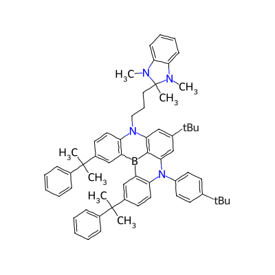 CN1c2ccccc2N(C)C1(C)CCCN1c2ccc(C(C)(C)c3ccccc3)cc2B2c3cc(C(C)(C)c4ccccc4)ccc3N(c3ccc(C(C)(C)C)cc3)c3cc(C(C)(C)C)cc1c32